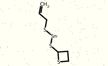 C=CC[S][Sn][S]C1CCS1